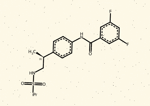 CC(C)S(=O)(=O)NC[C@@H](C)c1ccc(NC(=O)c2cc(F)cc(F)c2)cc1